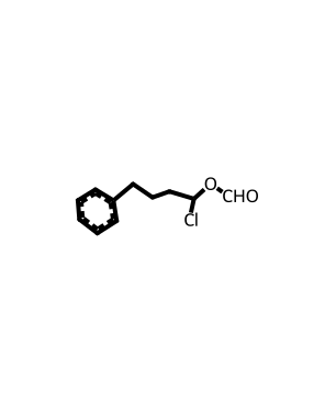 O=COC(Cl)CCCc1ccccc1